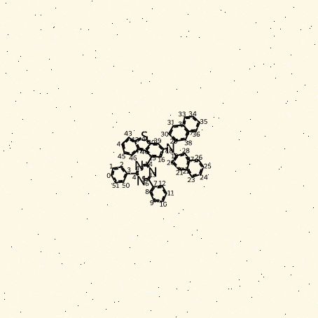 c1ccc(-c2nc(-c3ccccc3)nc(-c3cc(N(c4ccc5ccccc5c4)c4ccc5ccccc5c4)cc4sc5ccccc5c34)n2)cc1